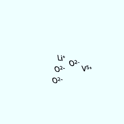 [Li+].[O-2].[O-2].[O-2].[V+5]